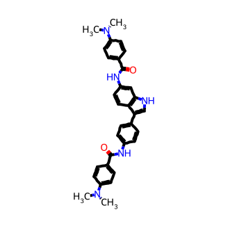 CN(C)c1ccc(C(=O)Nc2ccc(-c3c[nH]c4cc(NC(=O)c5ccc(N(C)C)cc5)ccc34)cc2)cc1